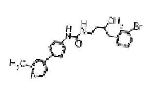 Cc1cc(-c2ccc(NC(=O)NCCC(C)Cc3cccc(Br)c3)cc2)ccn1